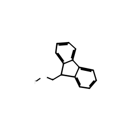 IOCC1c2ccccc2-c2ccccc21